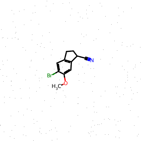 COc1cc2c(cc1Br)CCC2C#N